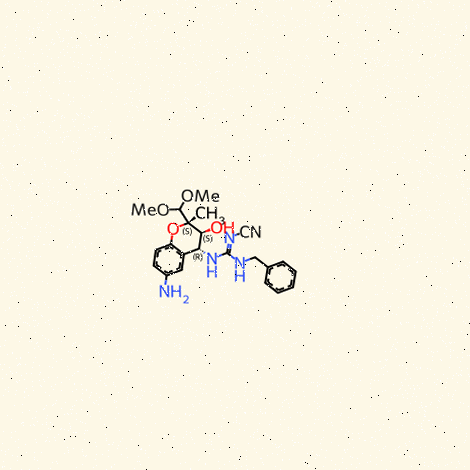 COC(OC)[C@@]1(C)Oc2ccc(N)cc2[C@@H](NC(=NC#N)NCc2ccccc2)[C@@H]1O